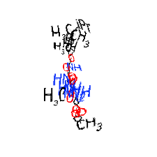 Cc1ccc(OC(=O)OCc2ccc(NC(=O)CNC(=O)[C@H](CC(C)N)NC(=O)CCC(=O)NCCCO[C@H]3CC[C@@]4(C)C(=CC[C@H]5[C@@H]6CC[C@H]([C@H](C)CCCC(C)C)[C@@]6(C)CC[C@@H]54)C3)cc2)cc1